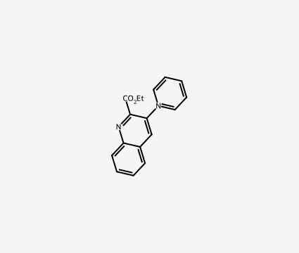 CCOC(=O)c1nc2ccccc2cc1-[n+]1ccccc1